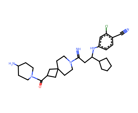 N#Cc1ccc(NC(CC(=N)N2CCC3(CC2)CC(C(=O)N2CCC(N)CC2)C3)C2CCCC2)cc1Cl